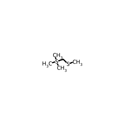 CSCS(C)(C)C